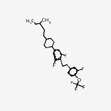 CCC(C)CCC1CCC(c2cc(F)c(CCc3ccc(OC(F)(F)F)c(F)c3)c(F)c2)CC1